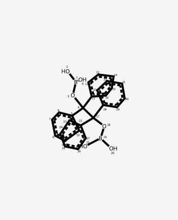 OB(O)OC(c1ccccc1)(c1ccccc1)C(OB(O)O)(c1ccccc1)c1ccccc1